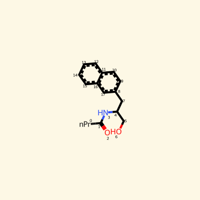 CCCC(=O)NC(CO)Cc1ccc2ccccc2c1